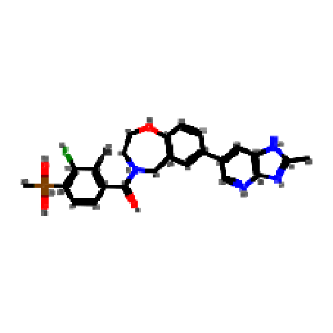 CCc1c(C(=O)N2CCOc3ccc(-c4cnc5nc(C)[nH]c5c4)cc3C2)ccc(S(C)(=O)=O)c1F